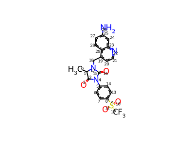 CC1C(=O)N(c2ccc(S(=O)(=O)C(F)(F)F)cc2)C(=O)N1Cc1ccnc2cc(N)ccc12